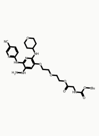 CC(C)(C)OC(=O)NCC(=O)OCCOCCOc1cc(NN)c(Nc2ccc(C#N)cn2)nc1NC1CCOCC1